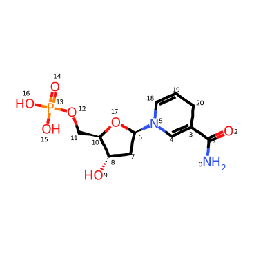 NC(=O)C1=CN([C@H]2C[C@H](O)[C@@H](COP(=O)(O)O)O2)C=CC1